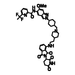 COc1cc2nn(C3CCC(CN4CCC(CCNc5cccc6c5C(=O)N(C5CCC(=O)NC5=O)C6=O)CC4)CC3)cc2cc1NC(=O)c1cccc(C(C)(F)F)n1